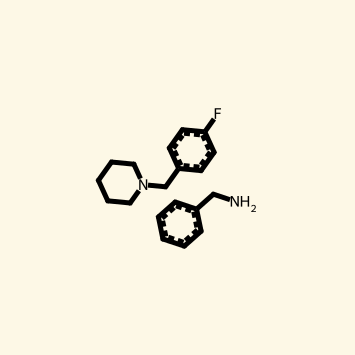 Fc1ccc(CN2CCCCC2)cc1.NCc1ccccc1